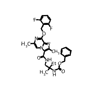 CCC(C)(CNC(=O)c1c(C)nc2c(OCc3c(F)cccc3F)nc(C)cn12)NC(=O)OCc1ccccc1